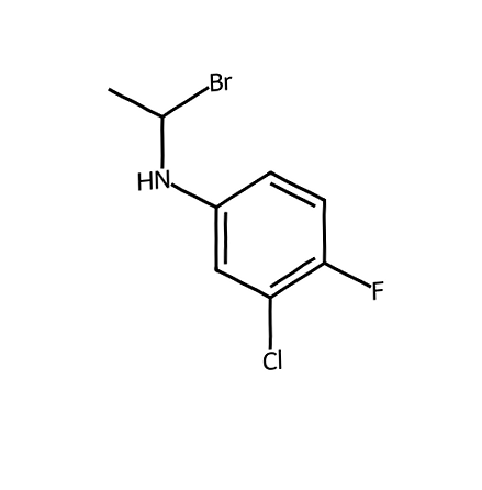 CC(Br)Nc1ccc(F)c(Cl)c1